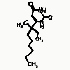 CCCCCCC(C)(CC)c1cc(=O)[nH]c(=O)[nH]1